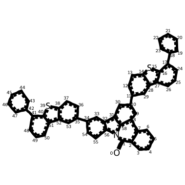 O=c1c2ccccc2c2cc(-c3ccc4sc5c(-c6ccccc6)cccc5c4c3)cc3c4cc(-c5ccc6sc7c(-c8ccccc8)cccc7c6c5)ccc4n1c23